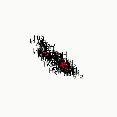 C[C@H](NC(=O)CNC(=O)[C@H](C)NC(=O)[C@H](CCCNC(=N)N)NC(=O)[C@H](C)NC(=O)[C@H](CS)NC(=O)[C@H](Cc1ccccc1)NC(=O)[C@H](Cc1ccc(O)cc1)NC(=O)[C@@H](NC(=O)[C@H](C)NC(=O)[C@@H](NC(=O)[C@H](CC(=O)O)NC(=O)[C@H](CCC(=O)O)NC(=O)[C@@H](NC(=O)[C@@H](NC(=O)[C@@H]1CCCN1C(=O)[C@@H](N)CO)[C@@H](C)O)[C@@H](C)O)[C@@H](C)O)[C@@H](C)O)C(=O)N[C@@H](CO)C(=O)N[C@@H](CC(N)=O)C(=O)N[C@@H](CC(N)=O)C(=O)O